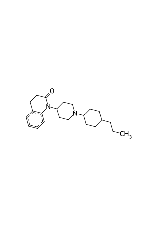 CCCC1CCC(N2CCC(N3C(=O)CCc4ccccc43)CC2)CC1